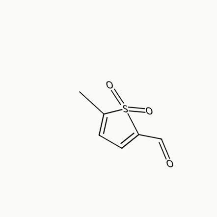 CC1=CC=C(C=O)S1(=O)=O